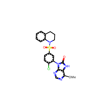 COc1ncnc2c1[nH]c(=O)n2-c1cc(S(=O)(=O)N2CCCc3ccccc32)ccc1Cl